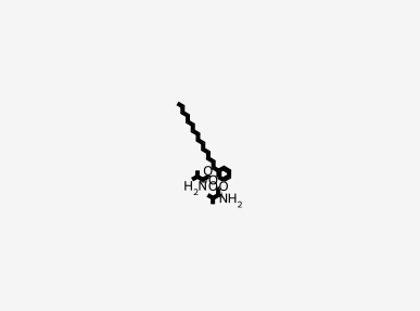 CCCCCCCCCCCCCCCc1cccc(OC(=O)[C@@H](N)C(C)C)c1OC(=O)[C@@H](N)C(C)C